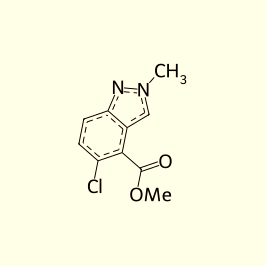 COC(=O)c1c(Cl)ccc2nn(C)cc12